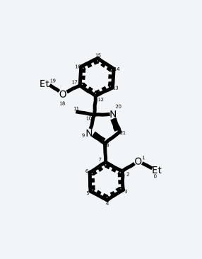 CCOc1ccccc1C1=NC(C)(c2ccccc2OCC)N=C1